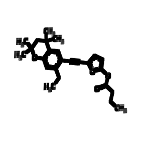 CCCC(=O)Oc1ccc(C#Cc2cc3c(cc2CC)OC(C)(C)CC3(C)C)o1